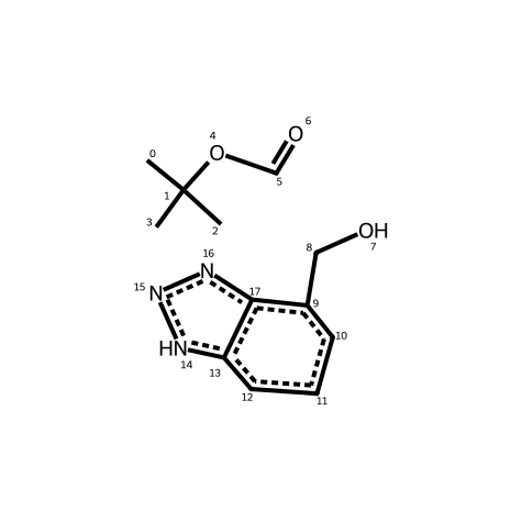 CC(C)(C)OC=O.OCc1cccc2[nH]nnc12